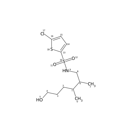 CC(CCCO)C(C)CNS(=O)(=O)c1ccc(Cl)s1